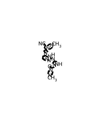 CN1CCN(C(=O)CN2C=C(Nc3nc4c(N5CC(CCC#N)(N6CCN(C)CC6)C5)cccn4n3)CN2)CC1